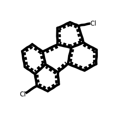 Clc1ccc2c3cccc4c(Cl)ccc(c5cccc1c52)c43